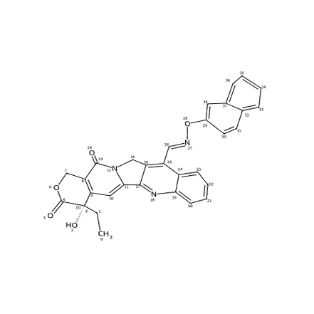 CC[C@@]1(O)C(=O)OCc2c1cc1n(c2=O)Cc2c-1nc1ccccc1c2C=NOc1ccc2ccccc2c1